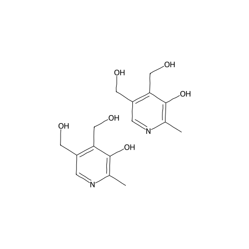 Cc1ncc(CO)c(CO)c1O.Cc1ncc(CO)c(CO)c1O